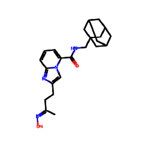 C/C(CCc1cn2c(C(=O)NCC34CC5CC(CC(C5)C3)C4)cccc2n1)=N\O